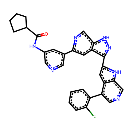 O=C(Nc1cncc(-c2cc3c(-c4cc5c(-c6ccccc6F)cncc5[nH]4)n[nH]c3cn2)c1)C1CCCC1